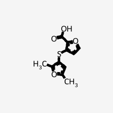 Cc1cc(Sc2ccoc2C(=O)O)c(C)o1